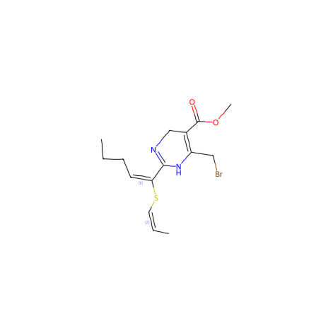 C/C=C\S/C(=C/CCC)C1=NCC(C(=O)OC)=C(CBr)N1